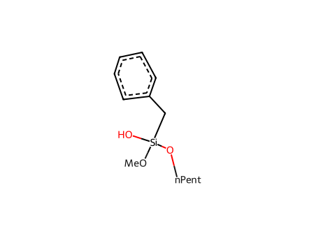 CCCCCO[Si](O)(Cc1ccccc1)OC